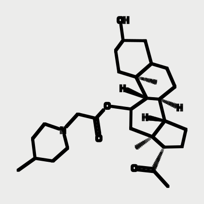 CC(=O)[C@H]1CC[C@H]2[C@@H]3CCC4CC(O)CC[C@]4(C)[C@H]3C(OC(=O)CN3CCC(C)CC3)C[C@]12C